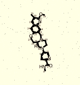 CNC(=O)c1ccc(N2CCN3Cc4cc5nc(OC)c(C)cc5cc4OCC[C@H]3C2)cn1